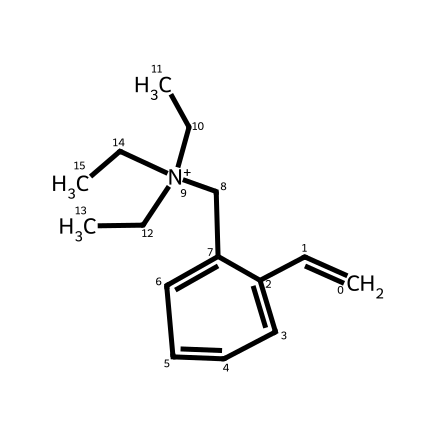 C=Cc1ccccc1C[N+](CC)(CC)CC